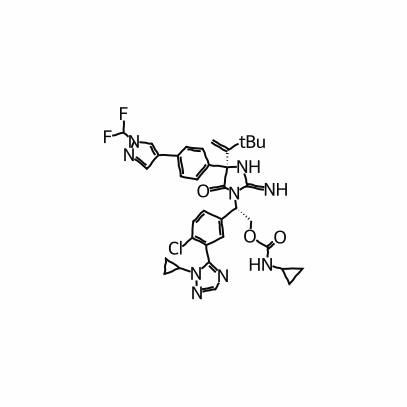 C=C(C(C)(C)C)[C@]1(c2ccc(-c3cnn(C(F)F)c3)cc2)NC(=N)N([C@H](COC(=O)NC2CC2)c2ccc(Cl)c(-c3ncnn3C3CC3)c2)C1=O